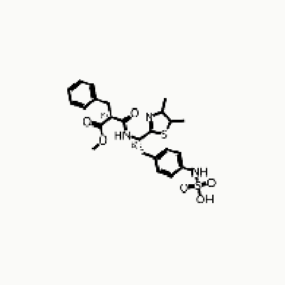 COC(=O)[C@@H](Cc1ccccc1)C(=O)N[C@@H](Cc1ccc(NS(=O)(=O)O)cc1)C1=NC(C)C(C)S1